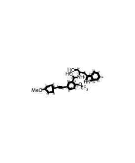 COc1ccc(C#Cc2ccc(OC(F)(F)F)c(C(O)NC(CO)Cc3c[nH]c4ccccc34)c2)cc1